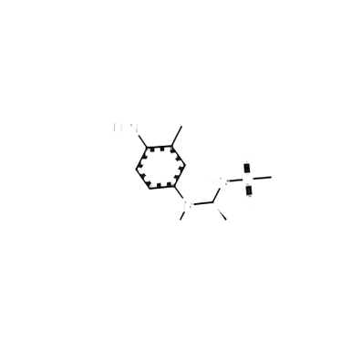 CCN(c1ccc(N)c(C)c1)[C@H](C)NS(C)(=O)=O